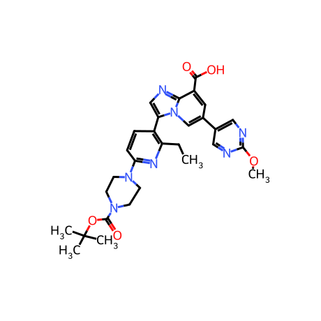 CCc1nc(N2CCN(C(=O)OC(C)(C)C)CC2)ccc1-c1cnc2c(C(=O)O)cc(-c3cnc(OC)nc3)cn12